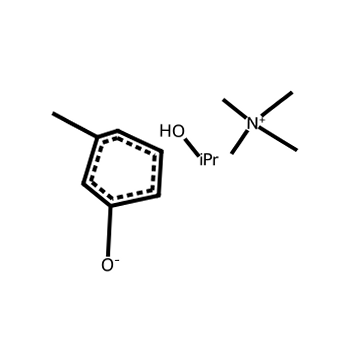 CC(C)O.C[N+](C)(C)C.Cc1cccc([O-])c1